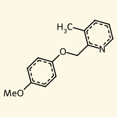 COc1ccc(OCc2ncccc2C)cc1